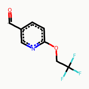 O=[C]c1ccc(OCC(F)(F)F)nc1